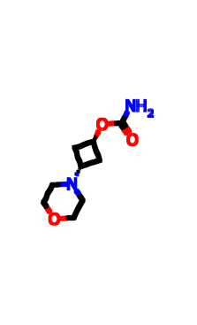 NC(=O)O[C@H]1C[C@H](N2CCOCC2)C1